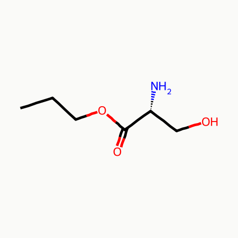 CCCOC(=O)[C@H](N)CO